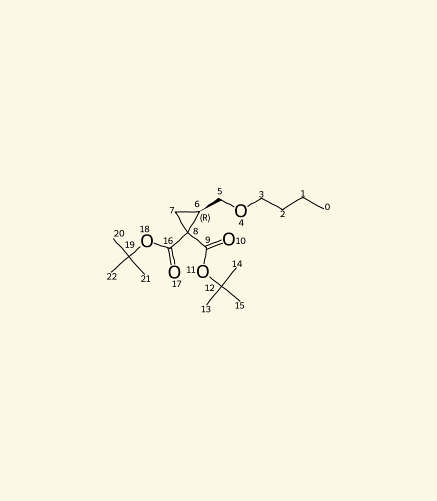 CCCCOC[C@@H]1CC1(C(=O)OC(C)(C)C)C(=O)OC(C)(C)C